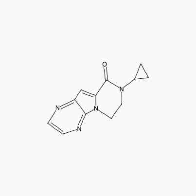 O=C1c2cc3nccnc3n2CCN1C1CC1